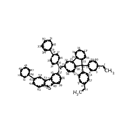 C=Cc1ccc(C2(c3ccc(C=C)cc3)c3ccccc3-c3cc(N(c4ccc(-c5ccccc5)cc4)c4ccc5sc6ccc(-c7ccccc7)cc6c5c4)ccc32)cc1